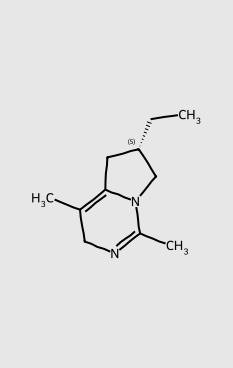 CC[C@H]1CC2=C(C)CN=C(C)N2C1